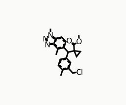 COC(=O)C1(C(c2ccc(C)c(CCl)c2)c2ccc3c(nnn3C)c2C)CC1